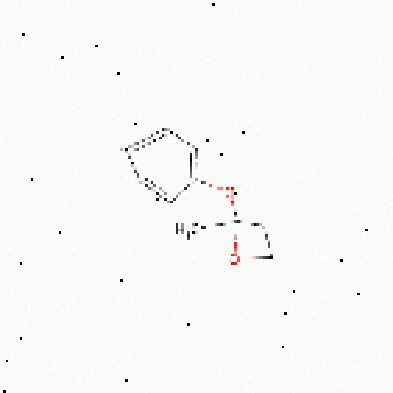 CC1(Oc2cc[c]cc2)CCO1